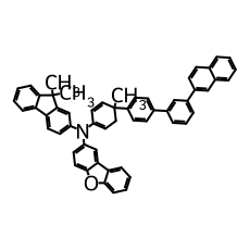 CC1(c2ccc(-c3cccc(-c4ccc5ccccc5c4)c3)cc2)C=CC(N(c2ccc3c(c2)C(C)(C)c2ccccc2-3)c2ccc3oc4ccccc4c3c2)=CC1